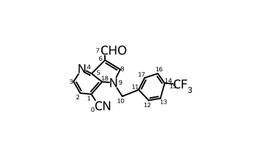 N#Cc1ccnc2c(C=O)cn(Cc3ccc(C(F)(F)F)cc3)c12